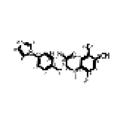 N#Cc1cc(F)c(N[C@H](Cc2ccc(-n3ccnc3)cc2)C(N)=O)cc1Br